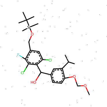 COCOc1ccc(C(O)c2c(Cl)cc(CO[Si](C)(C)C(C)(C)C)c(F)c2Cl)cc1C(C)C